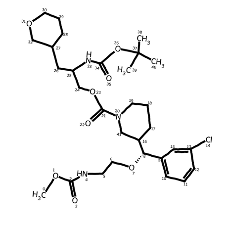 COC(=O)NCCO[C@@H](c1cccc(Cl)c1)C1CCCN(C(=O)OCC(CC2CCCOC2)NC(=O)OC(C)(C)C)C1